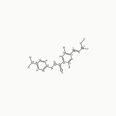 CCN(C)/C=N/c1cc(C)c(C(=O)OCc2ccc(C(C)C)cc2)cc1C